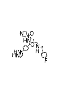 CN1CCN(C(=O)[C@@H](CCCN[C@@H]2C[C@H]2c2ccc(F)cc2)NC(=O)c2ccc(N3C=CNN3)cc2)CC1